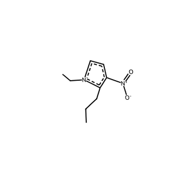 CCCc1c([N+](=O)[O-])ccn1CC